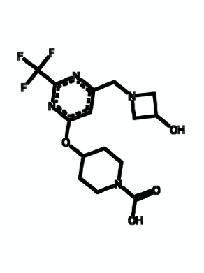 O=C(O)N1CCC(Oc2cc(CN3CC(O)C3)nc(C(F)(F)F)n2)CC1